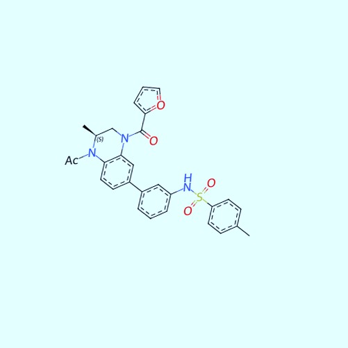 CC(=O)N1c2ccc(-c3cccc(NS(=O)(=O)c4ccc(C)cc4)c3)cc2N(C(=O)c2ccco2)C[C@@H]1C